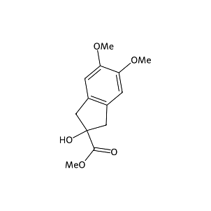 COC(=O)C1(O)Cc2cc(OC)c(OC)cc2C1